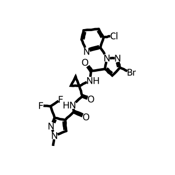 Cn1cc(C(=O)NC(=O)C2(NC(=O)c3cc(Br)nn3-c3ncccc3Cl)CC2)c(C(F)F)n1